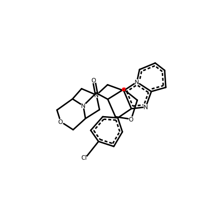 O=C(C1CCOC1)N1C2COCC1CN(Cc1c(-c3ccc(Cl)cc3)nc3ccccn13)C2